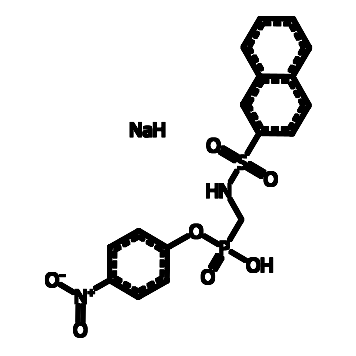 O=[N+]([O-])c1ccc(OP(=O)(O)CNS(=O)(=O)c2ccc3ccccc3c2)cc1.[NaH]